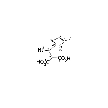 Cc1ccc(C(C#N)C(C(=O)O)C(=O)O)s1